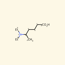 CCN(CC)C(C)CCCC(=O)O